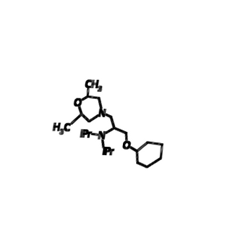 CC1CN(CC(COC2CCCCC2)N(C(C)C)C(C)C)CC(C)O1